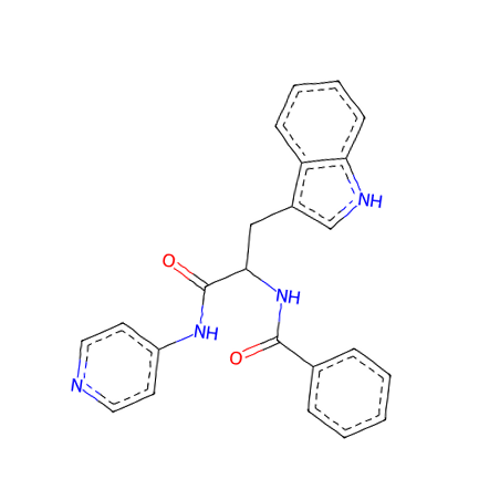 O=C(NC(Cc1c[nH]c2ccccc12)C(=O)Nc1ccncc1)c1ccccc1